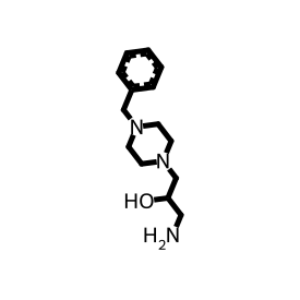 NCC(O)CN1CCN(Cc2ccccc2)CC1